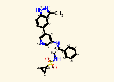 Cc1n[nH]c2ccc(-c3cncc(N[C@@H](CNS(=O)(=O)C4CC4)c4ccccc4)c3)cc12